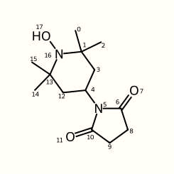 CC1(C)CC(N2C(=O)CCC2=O)CC(C)(C)N1O